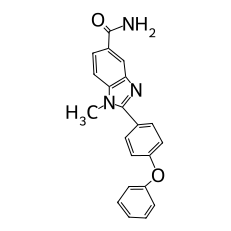 Cn1c(-c2ccc(Oc3ccccc3)cc2)nc2cc(C(N)=O)ccc21